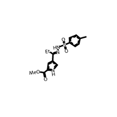 CC/C(=N\NS(=O)(=O)c1ccc(C)cc1)c1c[nH]c(C(=O)OC)c1